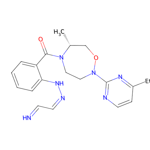 CCc1ccnc(N2CCN(C(=O)c3ccccc3N/N=C\C=N)[C@H](C)CO2)n1